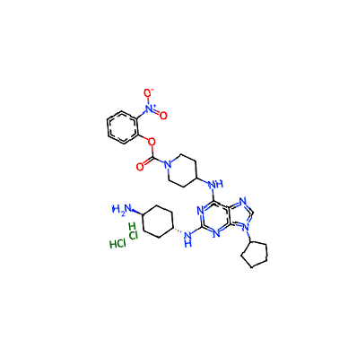 Cl.Cl.N[C@H]1CC[C@H](Nc2nc(NC3CCN(C(=O)Oc4ccccc4[N+](=O)[O-])CC3)c3ncn(C4CCCC4)c3n2)CC1